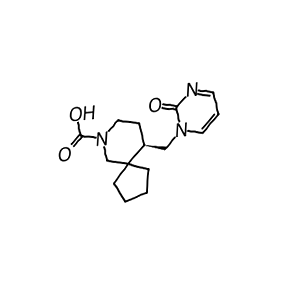 O=C(O)N1CC[C@@H](Cn2cccnc2=O)C2(CCCC2)C1